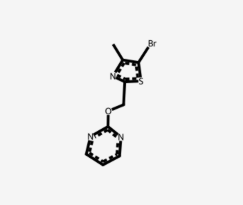 Cc1nc(COc2ncccn2)sc1Br